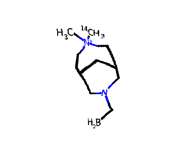 BCN1CC2CC(C1)C[N+](C)([14CH3])C2